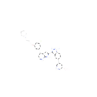 Oc1cncc(-c2ccc3[nH]nc(-c4cc5c(-c6cc(F)cc(OCCN7CCCC7)c6)ccnc5[nH]4)c3c2)c1